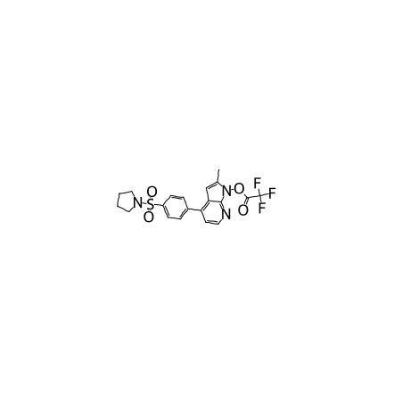 Cc1cc2c(-c3ccc(S(=O)(=O)N4CCCC4)cc3)ccnc2n1OC(=O)C(F)(F)F